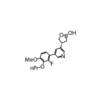 CCCOc1c(OC)ccc(-c2cncc([C@H]3COB(O)C3)c2)c1F